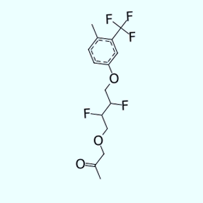 CC(=O)COCC(F)C(F)COc1ccc(C)c(C(F)(F)F)c1